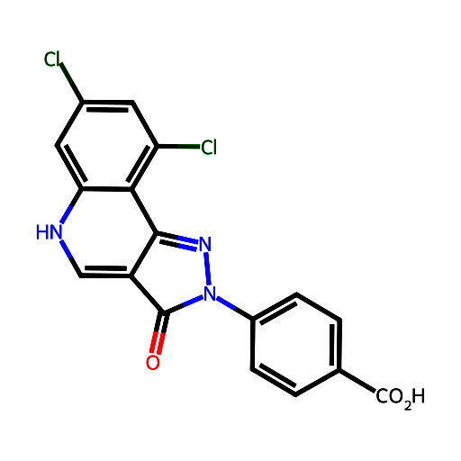 O=C(O)c1ccc(-n2nc3c4c(Cl)cc(Cl)cc4[nH]cc-3c2=O)cc1